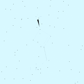 C[C@H]1C=C(CN)C1